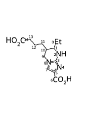 CCC1Nc2nc(C(=O)O)cn2CC1CCCC(=O)O